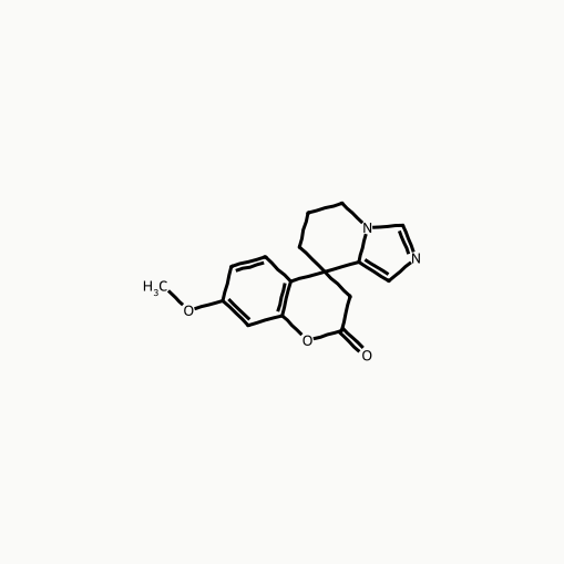 COc1ccc2c(c1)OC(=O)CC21CCCn2cncc21